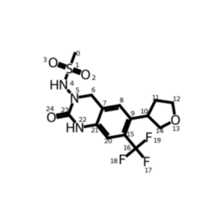 CS(=O)(=O)NN1Cc2cc(C3CCOC3)c(C(F)(F)F)cc2NC1=O